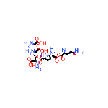 C[C@@H](OC(=O)[C@@H]1CCCN1)[C@H](N)C(=O)O.NCC(=O)O.NCC(=O)O.NCC(=O)OC(=O)[C@@H](N)CCC(N)=O